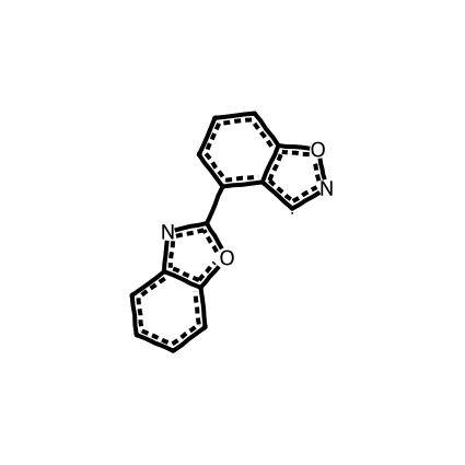 [c]1noc2cccc(-c3nc4ccccc4o3)c12